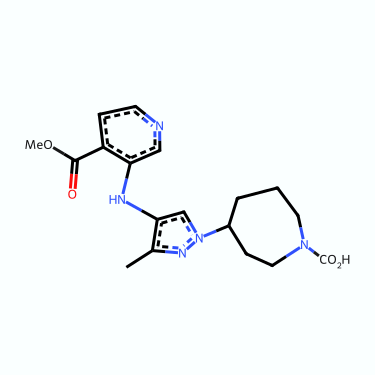 COC(=O)c1ccncc1Nc1cn(C2CCCN(C(=O)O)CC2)nc1C